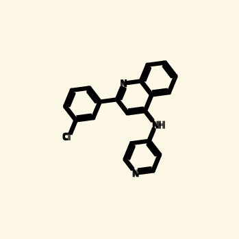 Clc1cccc(-c2cc(Nc3ccncc3)c3ccccc3n2)c1